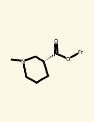 CCOC(=O)[C@@H]1CCCN(C)C1